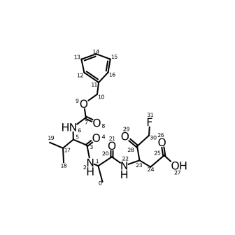 CC(NC(=O)C(NC(=O)OCc1ccccc1)C(C)C)C(=O)NC(CC(=O)O)C(=O)CF